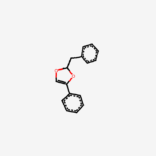 [c]1cccc(C2=COC(Cc3ccccc3)O2)c1